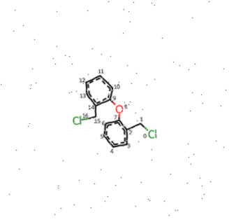 ClCc1ccccc1Oc1ccccc1CCl